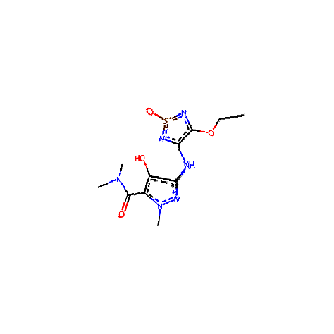 CCOc1n[s+]([O-])nc1Nc1nn(C)c(C(=O)N(C)C)c1O